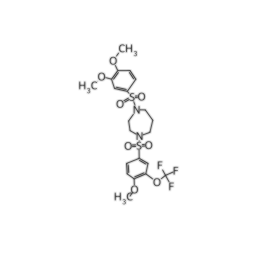 COc1ccc(S(=O)(=O)N2CCCN(S(=O)(=O)c3ccc(OC)c(OC(F)(F)F)c3)CC2)cc1OC